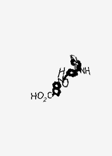 CN1CCN(C(=N)c2ccc(C(=O)Nc3ccc4c(c3)CCC(CC(=O)O)C4)cc2)CC1